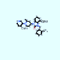 COc1ccncc1N1CCC(n2c(=O)n(Cc3ccccc3C(F)(F)F)c3c(OC)cccc32)CC1C